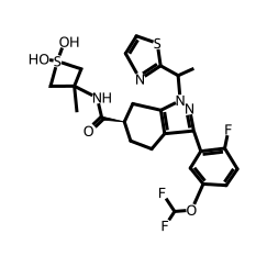 CC(c1nccs1)n1nc(-c2cc(OC(F)F)ccc2F)c2c1C[C@H](C(=O)NC1(C)CS(O)(O)C1)CC2